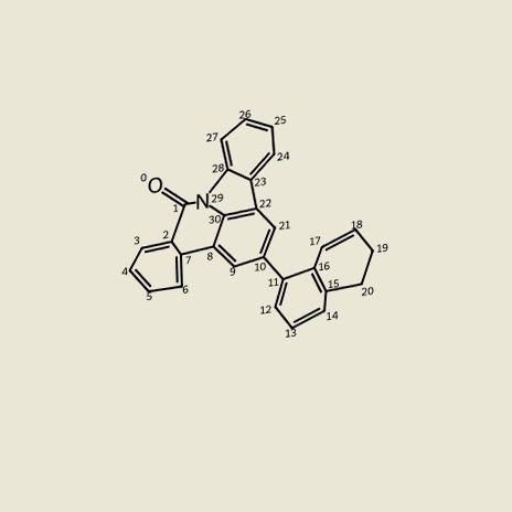 O=c1c2ccccc2c2cc(-c3cccc4c3C=CCC4)cc3c4ccccc4n1c23